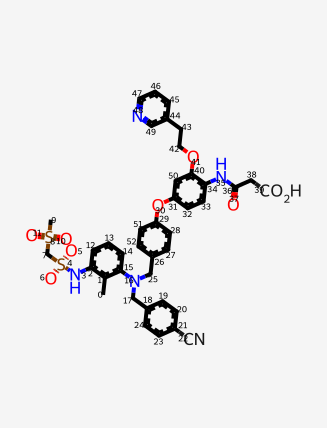 Cc1c(NS(=O)(=O)CS(C)(=O)=O)cccc1N(Cc1ccc(C#N)cc1)Cc1ccc(Oc2ccc(NC(=O)CC(=O)O)c(OCCc3cccnc3)c2)cc1